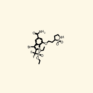 CCOP(=O)(OCC)C(F)(F)c1sc2c(OCCC3CCNS3(=O)=O)cc(C(N)=O)cc2c1Br